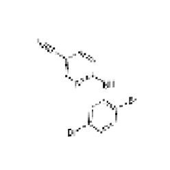 N#Cc1ccc(Nc2cc(Br)ccc2Br)nc1